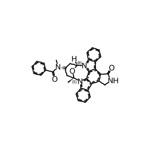 CN(C(=O)c1ccccc1)[C@@H]1C[C@H]2O[C@@](C)(C1)n1c3ccccc3c3c4c(c5c6ccccc6n2c5c31)C(=O)NC4